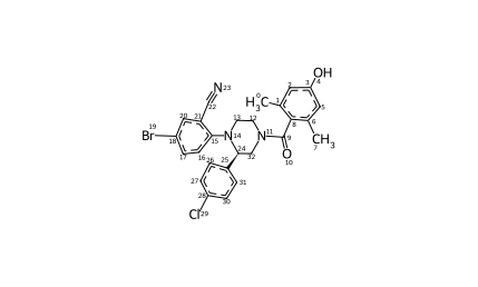 Cc1cc(O)cc(C)c1C(=O)N1CCN(c2ccc(Br)cc2C#N)[C@H](c2ccc(Cl)cc2)C1